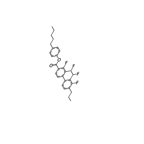 CCCCCc1ccc(OC(=O)c2ccc3c(c2F)C(F)C(F)c2c-3ccc(CCC)c2F)cc1